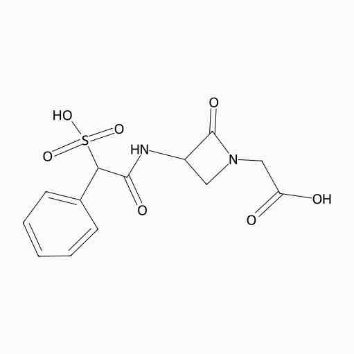 O=C(O)CN1CC(NC(=O)C(c2ccccc2)S(=O)(=O)O)C1=O